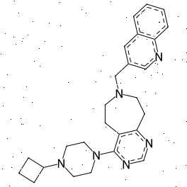 c1ccc2ncc(CN3CCc4ncnc(N5CCN(C6CCC6)CC5)c4CC3)cc2c1